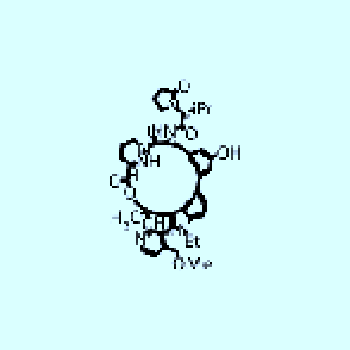 CCn1c(-c2cnccc2COC)c2c3cc(ccc31)-c1cc(O)cc(c1)C[C@H](NC(=O)[C@H](C(C)C)N1CCCC1=O)C(=O)N1CCC[C@H](N1)C(=O)OCC(C)(C)C2